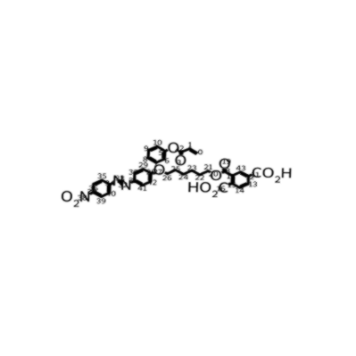 C=CC(=O)Oc1ccccc1.O=C(O)c1ccc(C(=O)O)c(C(=O)OCCCCCCOc2ccc(N=Nc3ccc([N+](=O)[O-])cc3)cc2)c1